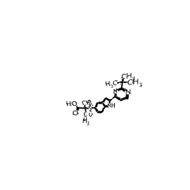 CC(C)(C)c1nccc(-c2cc3cc(S(=O)(=O)C(C)(C)C(=O)O)ccc3[nH]2)n1